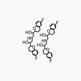 OC(CNCC(O)C1CCc2cc(F)ccc2O1)C1CCc2cc(F)ccc2O1.OC(CNCC(O)C1CCc2cc(F)ccc2O1)C1CCc2cc(F)ccc2O1